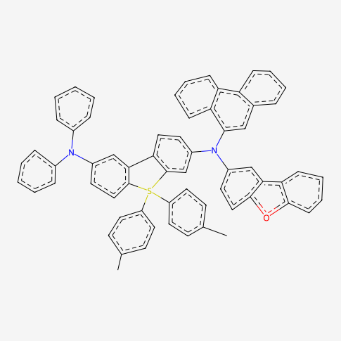 Cc1ccc(S2(c3ccc(C)cc3)c3ccc(N(c4ccccc4)c4ccccc4)cc3-c3ccc(N(c4ccc5oc6ccccc6c5c4)c4cc5ccccc5c5ccccc45)cc32)cc1